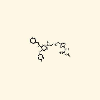 Cc1ccc(Cc2cnc(NCCSCc3csc(NC(=N)N)n3)nc2OCc2ccccc2)cn1